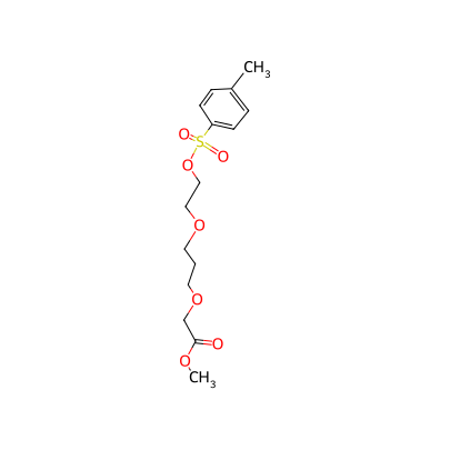 COC(=O)COCCCOCCOS(=O)(=O)c1ccc(C)cc1